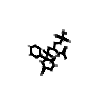 CC(=O)NC(CCS(=O)(=O)O)CC(C)(C)[C@@]1(C2CCCCC2)OC(=O)COC1=O